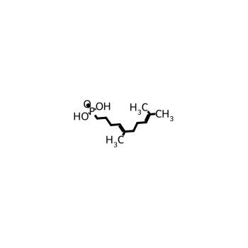 CC(C)=CCCC(C)=CCCCP(=O)(O)O